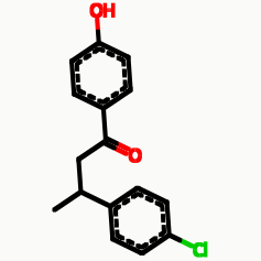 CC(CC(=O)c1ccc(O)cc1)c1ccc(Cl)cc1